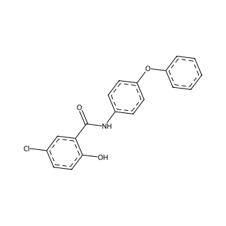 O=C(Nc1ccc(Oc2ccccc2)cc1)c1cc(Cl)ccc1O